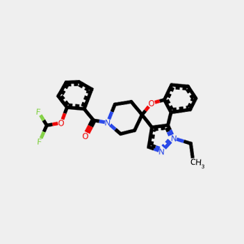 CCn1ncc2c1-c1ccccc1OC21CCN(C(=O)c2ccccc2OC(F)F)CC1